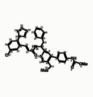 COC(=O)Nc1ccc(-c2cc(C(Cc3ccccc3)NC(=O)/C=C/c3cc(Cl)ccc3-n3cnnn3)nnc2CSC)cc1